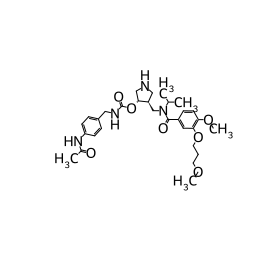 COCCCOc1cc(C(=O)N(C[C@@H]2CNC[C@H]2OC(=O)NCc2ccc(NC(C)=O)cc2)C(C)C)ccc1OC